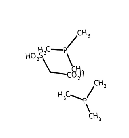 CP(C)C.CP(C)C.O=C(O)CS(=O)(=O)O